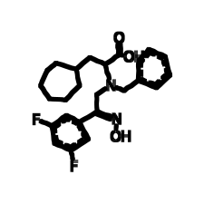 O=C(O)C(CC1CCCCCC1)N(CC(=NO)c1cc(F)cc(F)c1)Cc1ccccc1